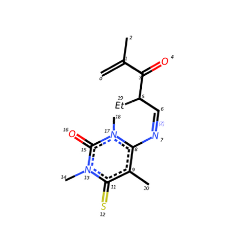 C=C(C)C(=O)C(/C=N\c1c(C)c(=S)n(C)c(=O)n1C)CC